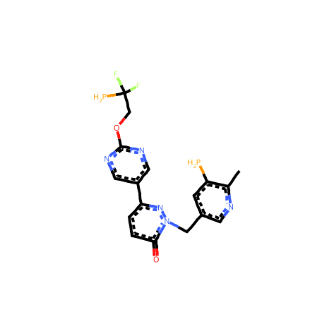 Cc1ncc(Cn2nc(-c3cnc(OCC(F)(F)P)nc3)ccc2=O)cc1P